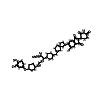 CNNC(OCN[C@H]1CC[C@H](Oc2ccc(C#N)c(Cl)c2)CC1)N1CCC(CN2CCC3(CCN(c4cc5c(cc4F)C(=O)N(C4CCC(=O)NC4=O)C5=O)C3)C2)CC1